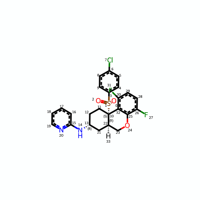 O=S(=O)(c1ccc(Cl)cc1)[C@@]12CC[C@@H](Nc3ccccn3)C[C@@H]1COc1c(F)ccc(F)c12